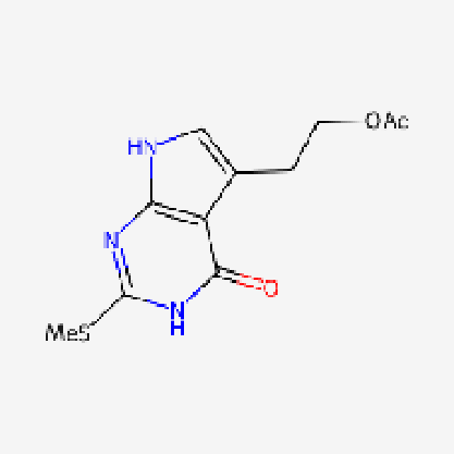 CSc1nc2[nH]cc(CCOC(C)=O)c2c(=O)[nH]1